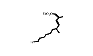 CCOC(=O)C=C(C)C=CC(C)CCCCCCC(C)C